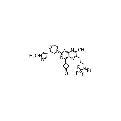 CCN(CCCc1nc2c(C3CC(=O)C3)nc(N3CCO[C@@H](c4cnn(C)c4)C3)nc2nc1C)S(F)(F)F